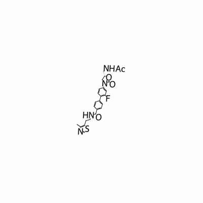 CC(=O)NC[C@H]1CN(c2ccc(-c3ccc(C(=O)NCCc4scnc4C)cc3)c(F)c2)C(=O)O1